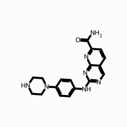 NC(=O)c1ccc2cnc(Nc3ccc(N4CCNCC4)cc3)nc2n1